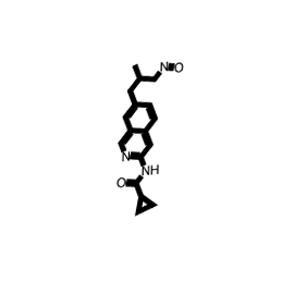 CC(CN=O)Cc1ccc2cc(NC(=O)C3CC3)ncc2c1